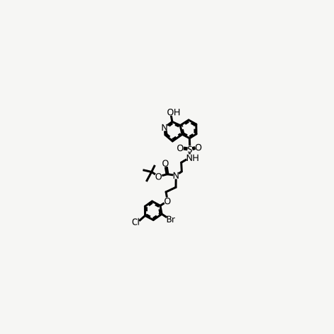 CC(C)(C)OC(=O)N(CCNS(=O)(=O)c1cccc2c(O)nccc12)CCOc1ccc(Cl)cc1Br